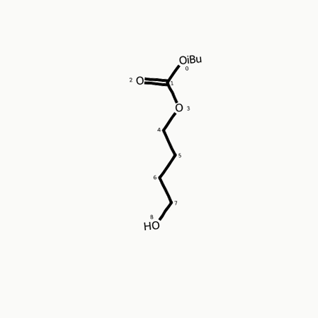 CC(C)COC(=O)OCCCCO